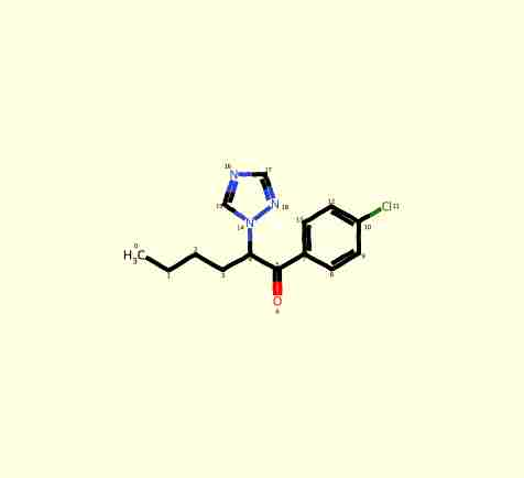 CCCCC(C(=O)c1ccc(Cl)cc1)n1cncn1